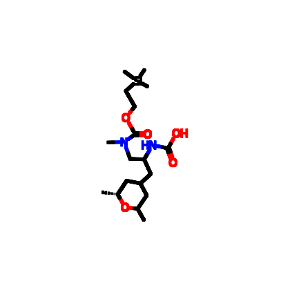 CC1CC(CC(CN(C)C(=O)OCC[Si](C)(C)C)NC(=O)O)C[C@@H](C)O1